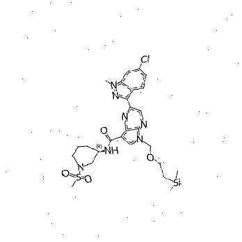 Cn1nc(-c2cnc3c(n2)c(C(=O)N[C@@H]2CCCN(S(C)(=O)=O)C2)cn3COCC[Si](C)(C)C)c2ccc(Cl)cc21